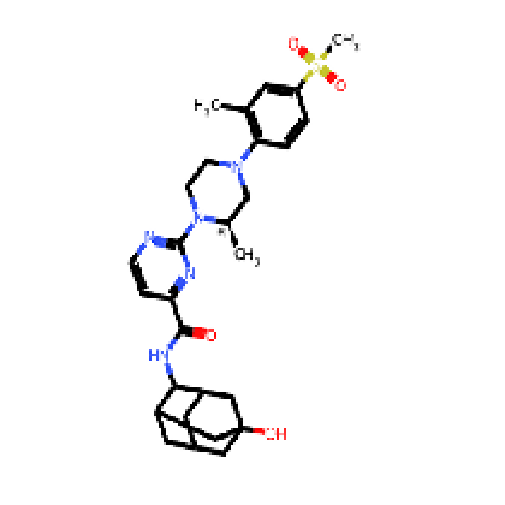 Cc1cc(S(C)(=O)=O)ccc1N1CCN(c2nccc(C(=O)NC3C4CC5CC3CC(O)(C5)C4)n2)[C@H](C)C1